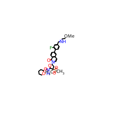 COCCNCc1ccc(-c2ccc3c(=O)n(CC[C@](C)(C(=O)NOC4CCCCO4)S(C)(=O)=O)ccc3c2)c(F)c1